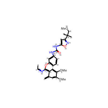 C=c1cc(OC)c(OC)c/c1=C(/N=C\C)Oc1cccc(NC(=O)Nc2cc(C(C)(C)COC)no2)c1